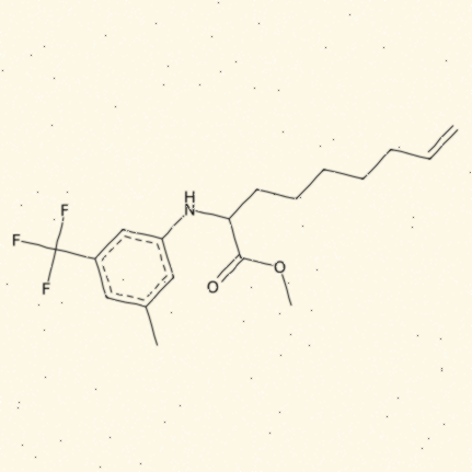 C=CCCCCCC(Nc1cc(C)cc(C(F)(F)F)c1)C(=O)OC